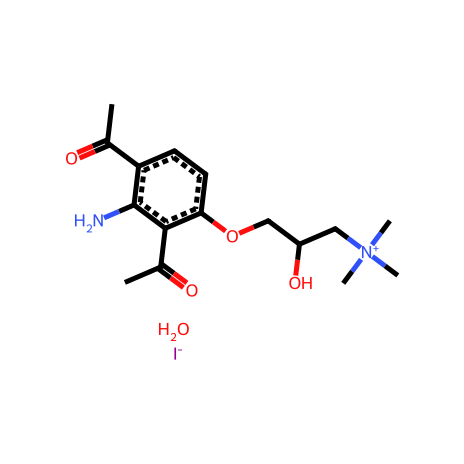 CC(=O)c1ccc(OCC(O)C[N+](C)(C)C)c(C(C)=O)c1N.O.[I-]